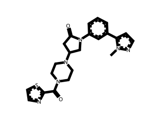 Cn1nccc1-c1cccc(N2CC(N3CCN(C(=O)c4nccs4)CC3)CC2=O)c1